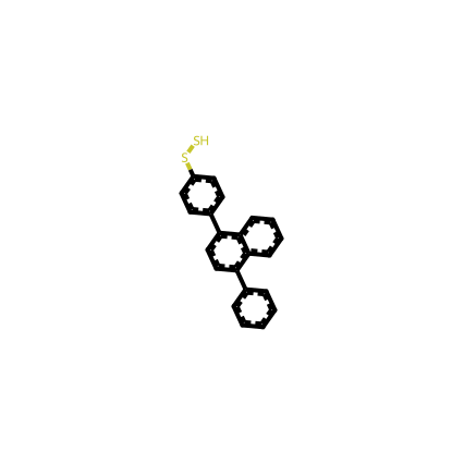 SSc1ccc(-c2ccc(-c3ccccc3)c3ccccc23)cc1